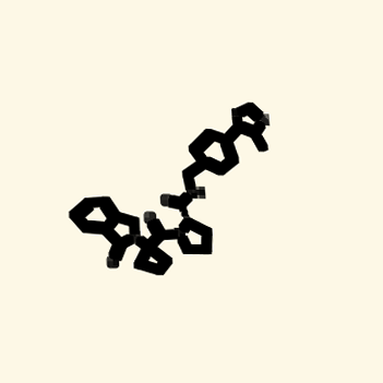 Cc1ncsc1-c1ccc(CNC(=O)[C@@H]2CCCN2C(=O)C2(N3Cc4ccccc4C3=O)CCC2)cc1